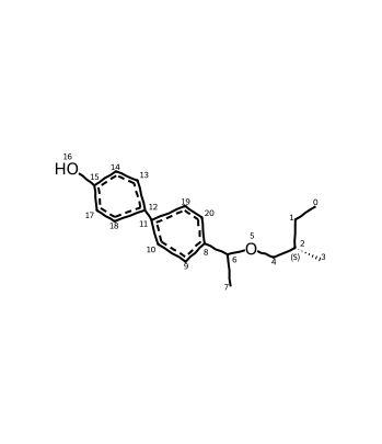 CC[C@H](C)COC(C)c1ccc(-c2ccc(O)cc2)cc1